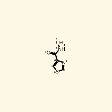 CNC(=O)c1cs[c]n1